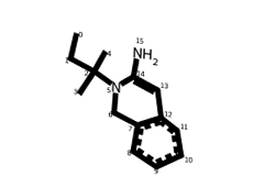 CCC(C)(C)N1Cc2ccccc2C=C1N